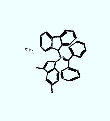 CC1=C[CH]([Zr+2](=[C](c2ccccc2)c2ccccc2)[CH]2c3ccccc3-c3ccccc32)c2ccc(C)cc21.[Cl-].[Cl-]